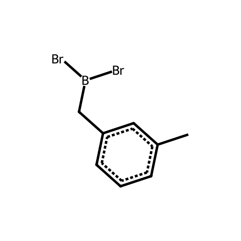 Cc1cccc(CB(Br)Br)c1